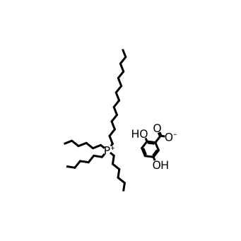 CCCCCCCCCCCCCC[P+](CCCCCC)(CCCCCC)CCCCCC.O=C([O-])c1cc(O)ccc1O